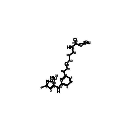 Cc1cc(Nc2cccc(CCOCCCNC(=O)OC(C)(C)C)n2)n(C(C)(C)C)n1